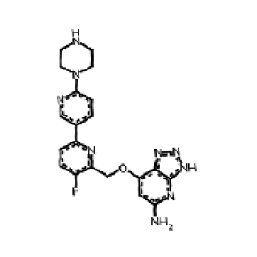 Nc1cc(OCc2nc(-c3ccc(N4CCNCC4)nc3)ccc2F)c2nn[nH]c2n1